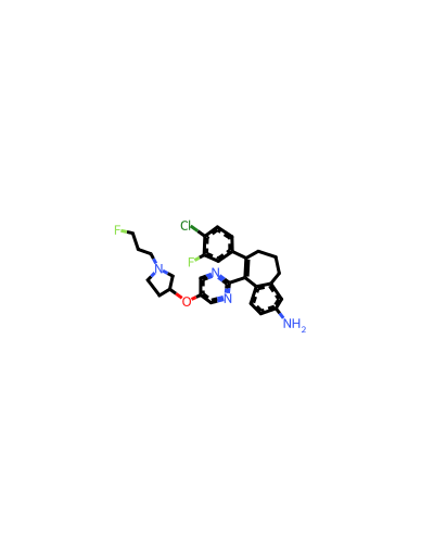 Nc1ccc2c(c1)CCCC(c1ccc(Cl)c(F)c1)=C2c1ncc(OC2CCN(CCCF)C2)cn1